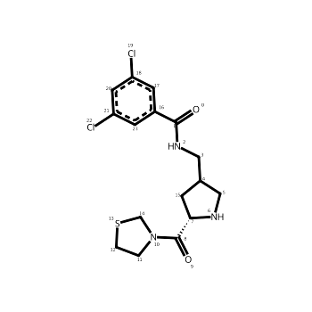 O=C(NCC1CN[C@H](C(=O)N2CCSC2)C1)c1cc(Cl)cc(Cl)c1